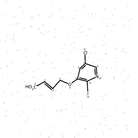 O=C(O)/C=C/COc1cc(Cl)cnc1I